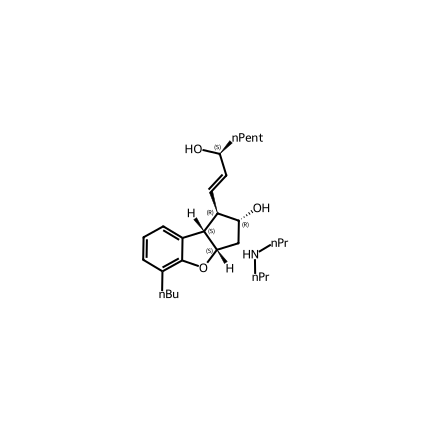 CCCCC[C@H](O)C=C[C@@H]1[C@H]2c3cccc(CCCC)c3O[C@H]2C[C@H]1O.CCCNCCC